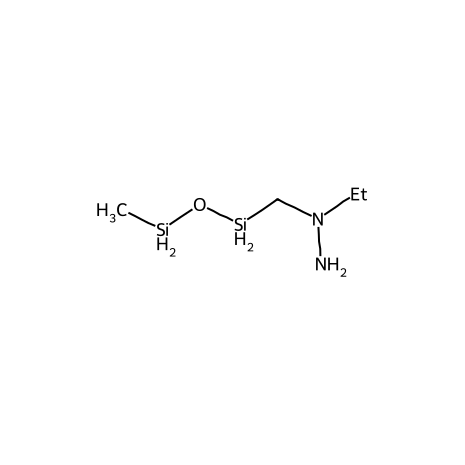 CCN(N)C[SiH2]O[SiH2]C